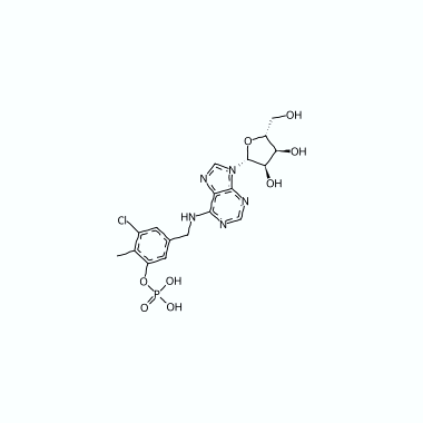 Cc1c(Cl)cc(CNc2ncnc3c2ncn3[C@@H]2O[C@H](CO)[C@@H](O)[C@H]2O)cc1OP(=O)(O)O